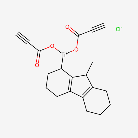 C#CC(=O)[O][Ti+]([O]C(=O)C#C)[CH]1CCCC2=C1C(C)C1=C2CCCC1.[Cl-]